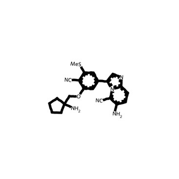 CSc1cc(-c2cnc3ccc(N)c(C#N)n23)cc(OCC2(N)CCCC2)c1C#N